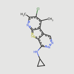 Cc1nc2sc3c(NC4CC4)nncc3c2c(C)c1Cl